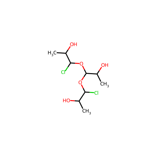 CC(O)C(Cl)OC(OC(Cl)C(C)O)C(C)O